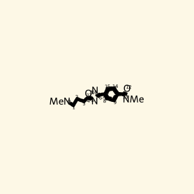 CNCCCc1nc(-c2ccc(C(=O)NC)cc2)no1